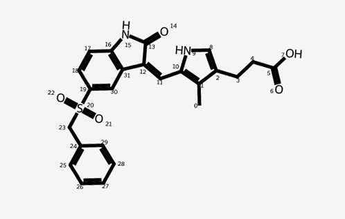 Cc1c(CCC(=O)O)c[nH]c1/C=C1\C(=O)Nc2ccc(S(=O)(=O)Cc3ccccc3)cc21